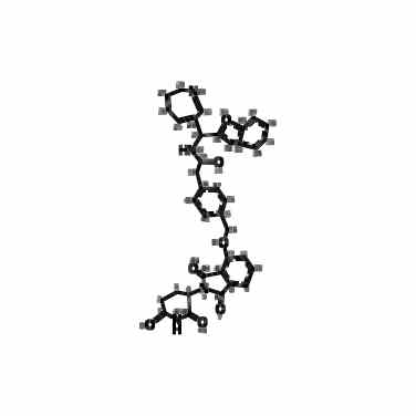 O=C1CCC(N2C(=O)c3cccc(OCc4ccc(CC(=O)NC(C5=CC=CCN=C5)c5cc6ccccc6o5)cc4)c3C2=O)C(=O)N1